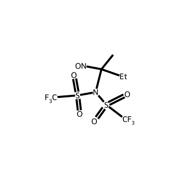 CCC(C)(N=O)N(S(=O)(=O)C(F)(F)F)S(=O)(=O)C(F)(F)F